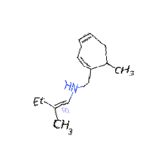 CC/C(C)=C\NCC1=CC=CCC1C